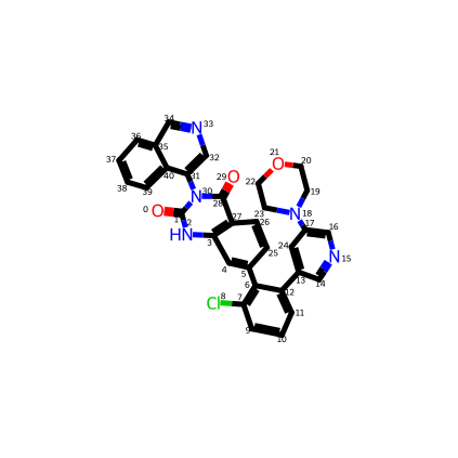 O=c1[nH]c2cc(-c3c(Cl)cccc3-c3cncc(N4CCOCC4)c3)ccc2c(=O)n1-c1cncc2ccccc12